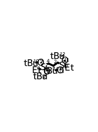 CC[Si](CCC[Si](CC)(OC(C)(C)C)OC(C)(C)C)(OC(C)(C)C)OC(C)(C)C